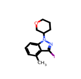 Cc1cccc2c1c(I)nn2C1CCCOC1